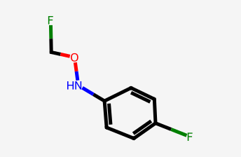 FCONc1ccc(F)cc1